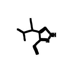 C=Cc1n[nH]cc1C(C)C(C)C